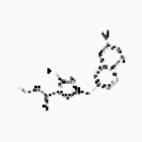 CCOC(=O)c1cn(Cc2ccc3ncc(Cl)cc3c2)nc1Br